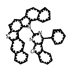 c1ccc(-c2nc(-n3c4c5ccccc5ccc4c4ccc5sc6cc7ccccc7cc6c5c43)nc3oc4ccccc4c23)cc1